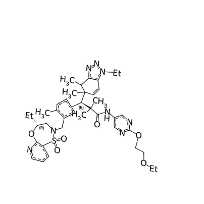 CCOCCOc1ncc(NC(=O)C(C)(C)[C@@H](c2ccc(C)c(CN3C[C@@H](CC)Oc4ncccc4S3(=O)=O)c2)C2(C)C=Cc3c(nnn3CC)C2C)cn1